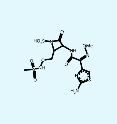 CO/N=C(\C(=O)NC1C(=O)N(S(=O)(=O)O)C1CONS(C)(=O)=O)c1csc(N)n1